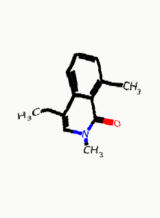 Cc1cn(C)c(=O)c2c(C)cccc12